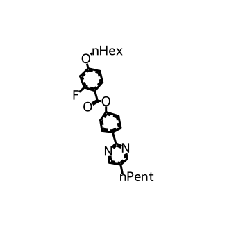 CCCCCCOc1ccc(C(=O)Oc2ccc(-c3ncc(CCCCC)cn3)cc2)c(F)c1